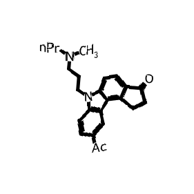 CCCN(C)CCCn1c2ccc(C(C)=O)cc2c2c3c(ccc21)C(=O)CC3